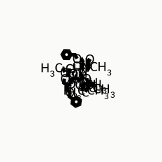 CCOP(C)(=O)C[C@@H](OC(CC)COCc1ccccc1)[C@H]1O[C@@H](n2cc(C)c(=O)n(COCc3ccccc3)c2=O)[C@H](OCCOC)[C@@H]1O[Si](C)(C)C(C)(C)C